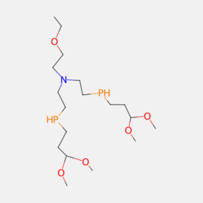 CCOCCN(CCPCCC(OC)OC)CCPCCC(OC)OC